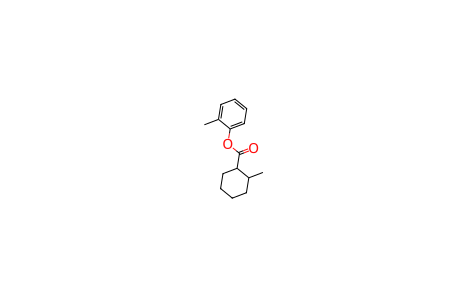 Cc1ccccc1OC(=O)C1CCCCC1C